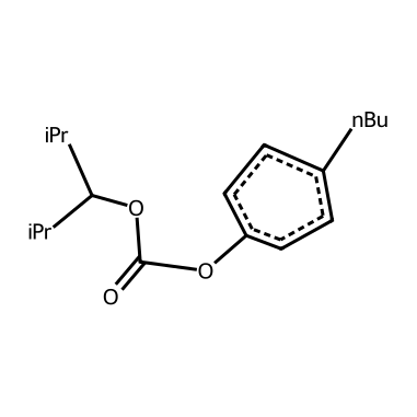 CCCCc1ccc(OC(=O)OC(C(C)C)C(C)C)cc1